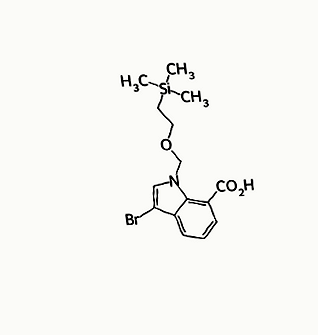 C[Si](C)(C)CCOCn1cc(Br)c2cccc(C(=O)O)c21